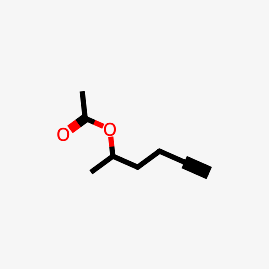 C#CCCC(C)OC(C)=O